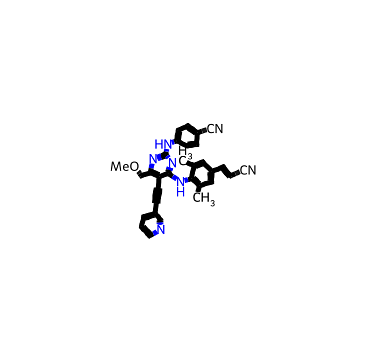 COCc1nc(Nc2ccc(C#N)cc2)nc(Nc2c(C)cc(/C=C/C#N)cc2C)c1C#Cc1cccnc1